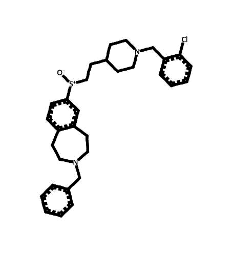 [O-][S+](CCC1CCN(Cc2ccccc2Cl)CC1)c1ccc2c(c1)CCN(Cc1ccccc1)CC2